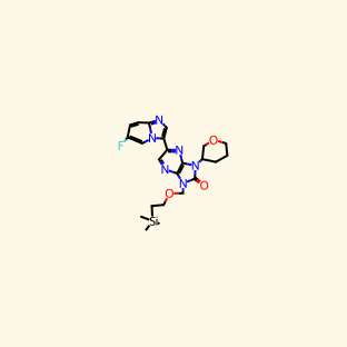 C[Si](C)(C)CCOCn1c(=O)n(C2CCCOC2)c2nc(-c3cnc4ccc(F)cn34)cnc21